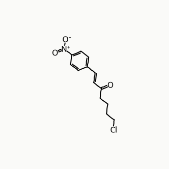 O=C(C=Cc1ccc([N+](=O)[O-])cc1)CCCCCl